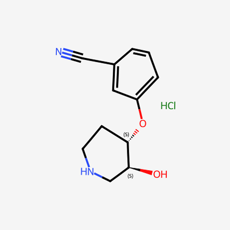 Cl.N#Cc1cccc(O[C@H]2CCNC[C@@H]2O)c1